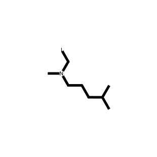 CC(C)CCCN(C)CI